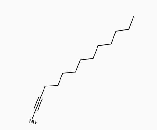 CCCCCCCCCCCC#C[NH]